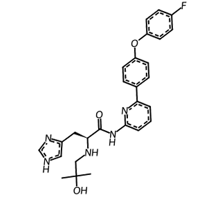 CC(C)(O)CN[C@@H](Cc1c[nH]cn1)C(=O)Nc1cccc(-c2ccc(Oc3ccc(F)cc3)cc2)n1